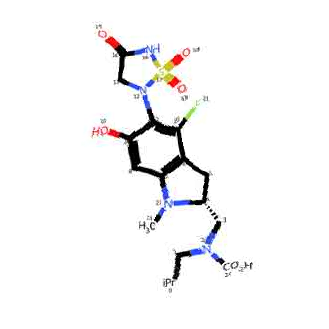 CC(C)CN(C[C@H]1Cc2c(cc(O)c(N3CC(=O)NS3(=O)=O)c2F)N1C)C(=O)O